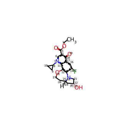 CCOC(=O)c1cn(C2CC2)c2c3c(c(F)cc2c1=O)N1C[C@H](O)C[C@@H]1CCO3